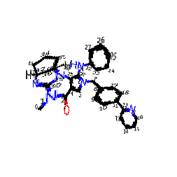 CN1C(=O)c2cn(Cc3ccc(-c4ccccn4)cc3)c(Nc3ccccc3)c2N2C1=N[C@@H]1CCC[C@@H]12